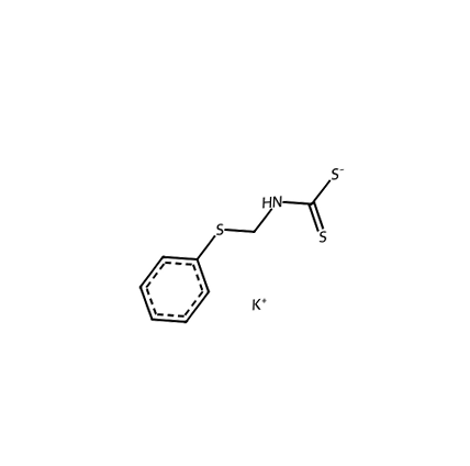 S=C([S-])NCSc1ccccc1.[K+]